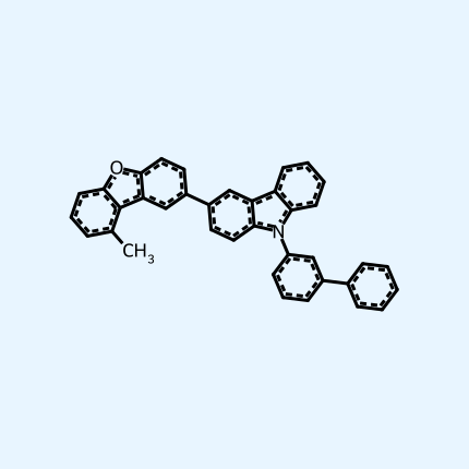 Cc1cccc2oc3ccc(-c4ccc5c(c4)c4ccccc4n5-c4cccc(-c5ccccc5)c4)cc3c12